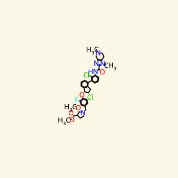 COC(=O)C1CCN(Cc2cc(Cl)c(OC3CCc4c(-c5cccc(NC(=O)c6nc7c(n6C)CCN(C)C7)c5Cl)cccc43)c(F)c2OC)C1